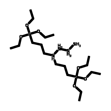 CCO[Si](CCC[SiH](CCC[Si](OCC)(OCC)OCC)[SiH2][SiH2][SiH3])(OCC)OCC